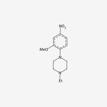 CCN1CCN(c2ccc([N+](=O)[O-])cc2OC)CC1